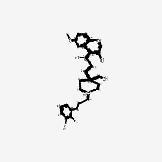 COc1ccc2ncc(Cl)c([C@H](F)CCC3(CO)CCN(CCCc4cccc(F)c4F)CC3)c2c1